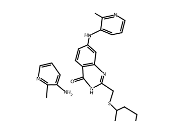 Cc1ncccc1N.Cc1ncccc1Nc1ccc2c(=O)[nH]c(CSC3CCOCC3)nc2c1